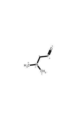 CN(C)CP=O